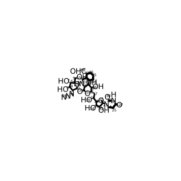 [N-]=[N+]=NC1C(O)[C@H](O)C(CO)O[C@@H]1OC1O[C@H](C[C@@H](O)C2O[C@@H](n3ccc(=O)[nH]c3=O)[C@H](O)[C@@H]2O)C(O)C(O)[C@H]1NCc1ccccc1C=O